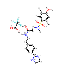 COc1cc(C)c(S(=O)(=O)N(C)CCC(=O)N(C)CCc2ccc(C3=NCCN3)cc2)c(C)c1C.O=C(O)C(F)(F)F